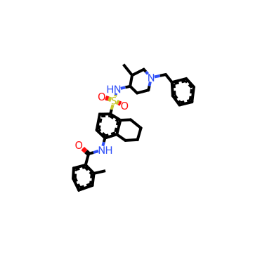 Cc1ccccc1C(=O)Nc1ccc(S(=O)(=O)NC2CCN(Cc3ccccc3)CC2C)c2c1CCCC2